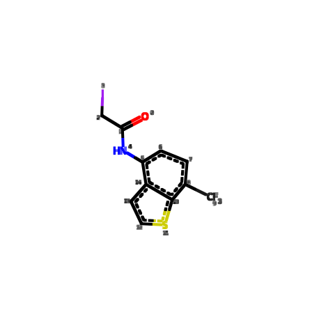 O=C(CI)Nc1ccc(C(F)(F)F)c2sccc12